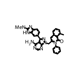 CNc1nc2ccc(-c3nn(Cc4cc5cccc(C)c5c(=O)n4-c4ccccc4)c4ncnc(N)c34)cc2[nH]1